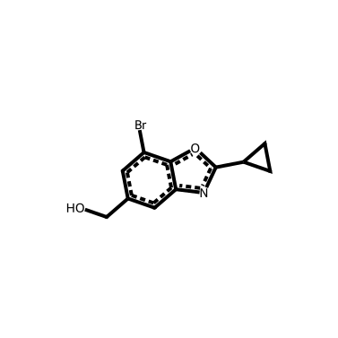 OCc1cc(Br)c2oc(C3CC3)nc2c1